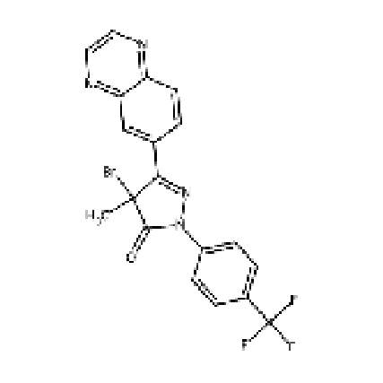 CC1(Br)C(=O)N(c2ccc(C(F)(F)F)cc2)N=C1c1ccc2nccnc2c1